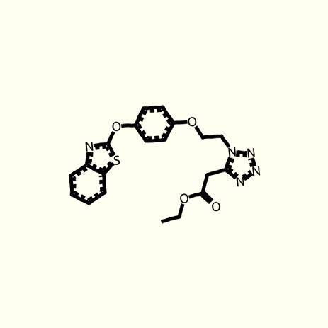 CCOC(=O)Cc1nnnn1CCOc1ccc(Oc2nc3ccccc3s2)cc1